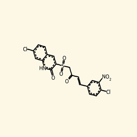 O=C(/C=C/c1ccc(Cl)c([N+](=O)[O-])c1)CS(=O)(=O)c1cc2ccc(Cl)cc2[nH]c1=O